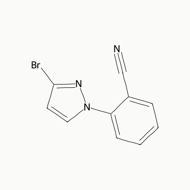 N#Cc1ccccc1-n1ccc(Br)n1